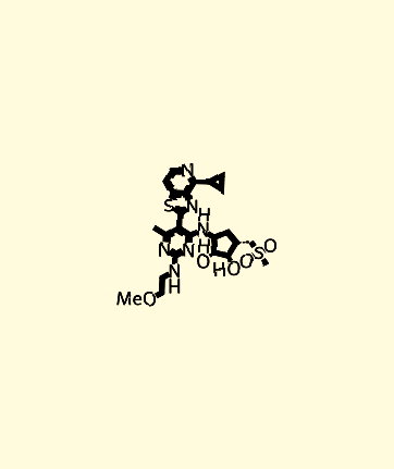 COCCNc1nc(C)c(-c2nc3c(C4CC4)nccc3s2)c(NC2C[C@H](CS(C)(=O)=O)[C@@H](O)[C@H]2O)n1